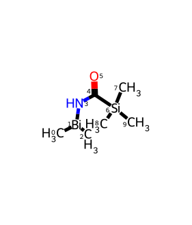 [CH3][Bi]([CH3])[NH]C(=O)[Si](C)(C)C